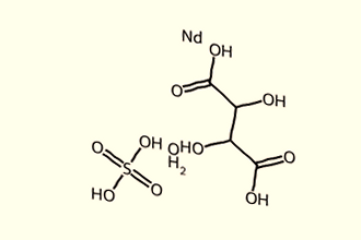 O.O=C(O)C(O)C(O)C(=O)O.O=S(=O)(O)O.[Nd]